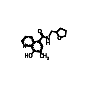 Cc1cc(C(=O)NCC2CCCO2)c2cccnc2c1O